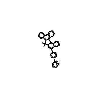 CC1(C)c2cc(-c3ccc(-c4ccccn4)cc3)c3ccccc3c2-c2c1c1ccccc1c1ccccc21